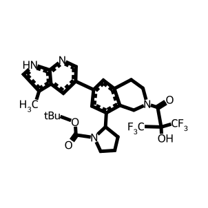 Cc1c[nH]c2ncc(-c3cc4c(c(C5CCCN5C(=O)OC(C)(C)C)c3)CN(C(=O)C(O)(C(F)(F)F)C(F)(F)F)CC4)cc12